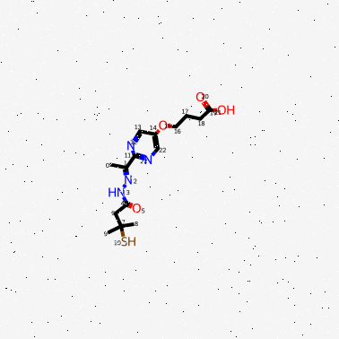 CC(=NNC(=O)CC(C)(C)S)c1ncc(OCCCC(=O)O)cn1